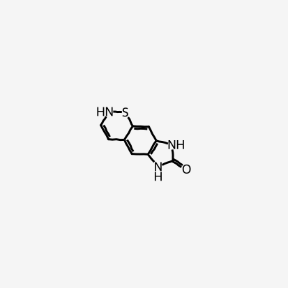 O=c1[nH]c2cc3c(cc2[nH]1)SNC=C3